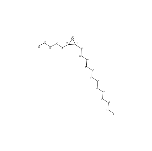 CCCCCCCCCCCCCC1OC1CCCCC